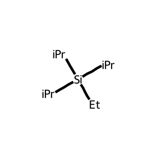 [CH2]C[Si](C(C)C)(C(C)C)C(C)C